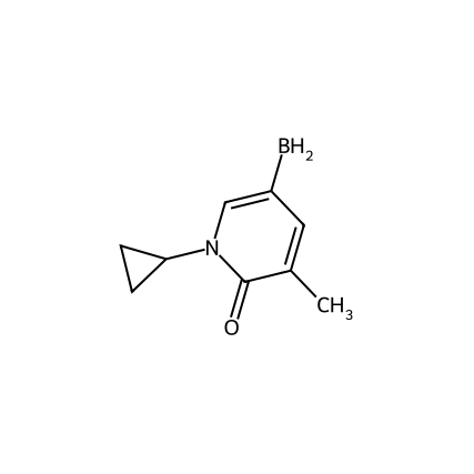 Bc1cc(C)c(=O)n(C2CC2)c1